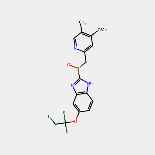 COc1cc(C[S+]([O-])c2nc3cc(OC(F)(F)CF)ccc3[nH]2)ncc1C